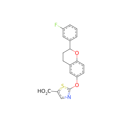 O=C(O)c1cnc(Oc2ccc3c(c2)CCC(c2cccc(F)c2)O3)s1